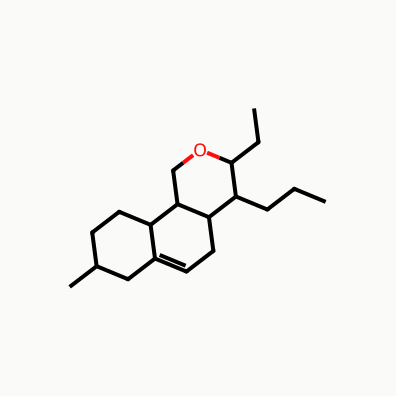 CCCC1C(CC)OCC2C3CCC(C)CC3=CCC12